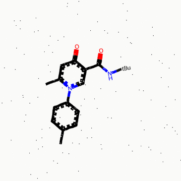 Cc1ccc(-n2cc(C(=O)NC(C)(C)C)c(=O)cc2C)cc1